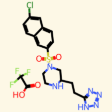 O=C(O)C(F)(F)F.O=S(=O)(c1ccc2cc(Cl)ccc2c1)N1CCNC(CCc2nnn[nH]2)C1